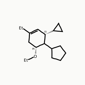 CCO[C@@H]1CC(CC)=C[C@H](C2CC2)C1C1CCCC1